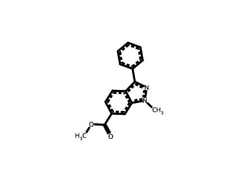 COC(=O)c1ccc2c(-c3ccccc3)nn(C)c2c1